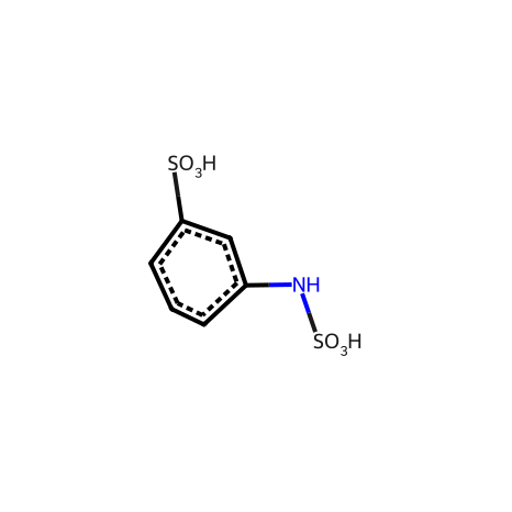 O=S(=O)(O)Nc1cccc(S(=O)(=O)O)c1